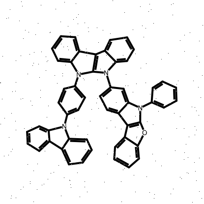 c1ccc(-n2c3cc(-n4c5ccccc5c5c6ccccc6n(-c6ccc(-n7c8ccccc8c8ccccc87)cc6)c54)ccc3c3c4ccccc4oc32)cc1